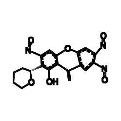 C=C1c2cc(N=O)c(N=O)cc2Oc2cc(N=O)c([C@H]3CCCCO3)c(O)c21